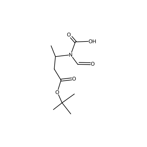 CC(CC(=O)OC(C)(C)C)N(C=O)C(=O)O